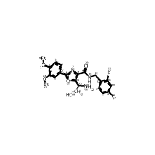 CCOc1ccc(-c2nc(C(=O)NCc3ccc(F)cc3F)c([C@H](C)N)o2)cc1OCC.Cl